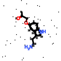 CC(=O)COc1ccc2[nH]cc(CCN)c2c1